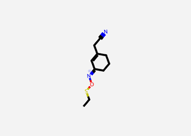 CCSO/N=C1/C=C(CC#N)CCC1